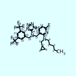 CCCCCN(CC1CC1)c1nc(F)ccc1CN(Cc1cc(C(F)(F)F)cc(C(F)(F)F)c1)c1nnn[nH]1